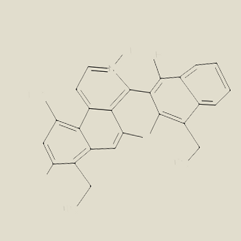 Cc1cc(C)c2c(cc3c4c([n+](C)ccc42)-c2c(c(CC(C)(C)C)c4ccccc4c2C)O3)c1CC(C)(C)C